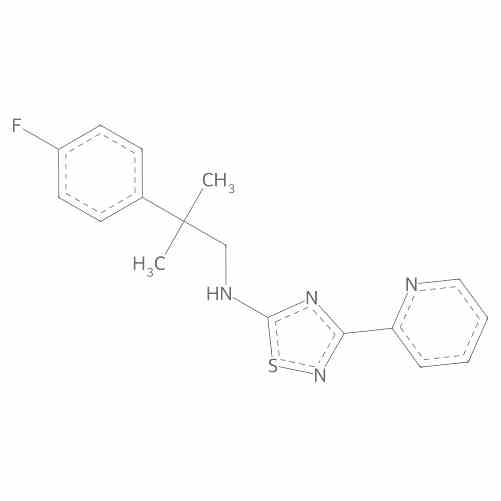 CC(C)(CNc1nc(-c2ccccn2)ns1)c1ccc(F)cc1